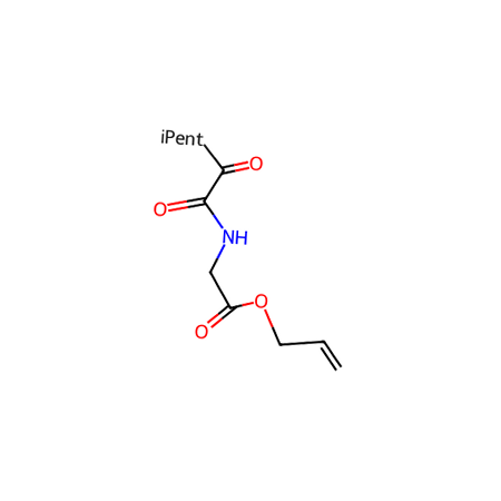 C=CCOC(=O)CNC(=O)C(=O)C(C)CCC